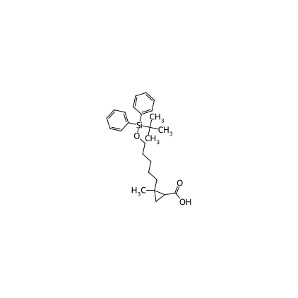 CC1(CCCCCO[Si](c2ccccc2)(c2ccccc2)C(C)(C)C)CC1C(=O)O